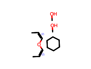 C/C=C\O/C=C\C.C1CCCCC1.CO.CO